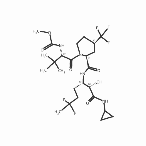 COC(=O)N[C@H](C(=O)N1CC[C@@H](C(F)(F)F)C[C@H]1C(=O)N[C@@H](CCC(C)(F)F)[C@H](O)C(=O)NC1CC1)C(C)(C)C